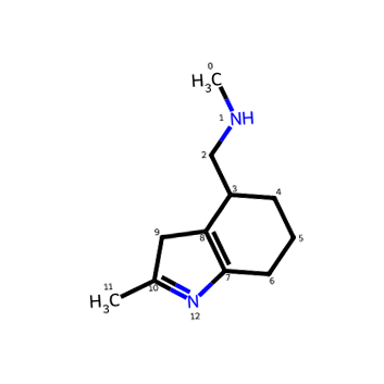 CNCC1CCCC2=C1CC(C)=N2